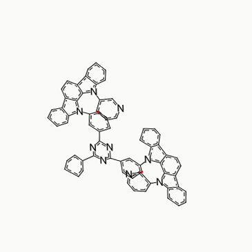 c1ccc(-c2nc(-c3cccc(-n4c5ccccc5c5ccc6c7ccccc7n(-c7cccnc7)c6c54)c3)nc(-c3cccc(-n4c5ccccc5c5ccc6c7ccccc7n(-c7cccnc7)c6c54)c3)n2)cc1